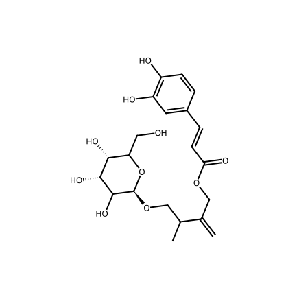 C=C(COC(=O)/C=C/c1ccc(O)c(O)c1)C(C)CO[C@@H]1OC(CO)[C@@H](O)[C@@H](O)C1O